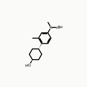 CCCCN(C)c1ccc([C@H]2CC[C@H](O)CC2)c(C)c1